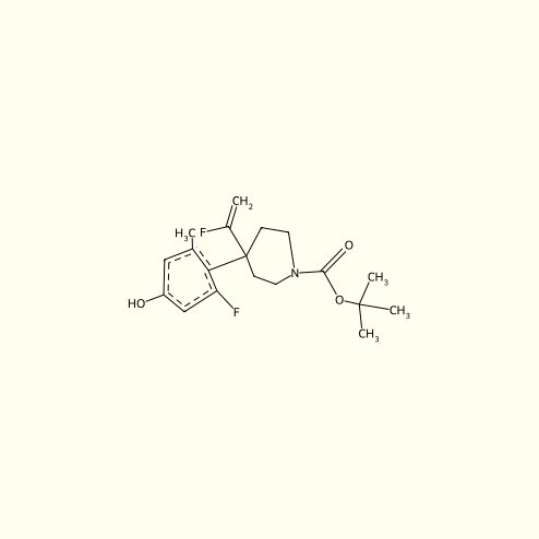 C=C(F)C1(c2c(C)cc(O)cc2F)CCN(C(=O)OC(C)(C)C)CC1